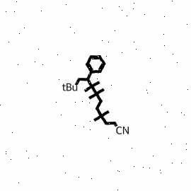 CC(C)(C)CC(c1ccccc1)C(C)(C)C(C)(C)CCC(C)(C)CCC#N